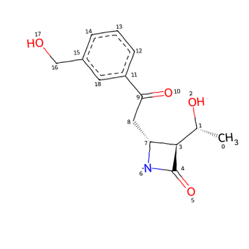 C[C@@H](O)[C@H]1C(=O)[N][C@@H]1CC(=O)c1cccc(CO)c1